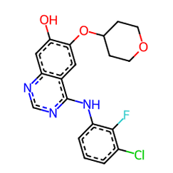 Oc1cc2ncnc(Nc3cccc(Cl)c3F)c2cc1OC1CCOCC1